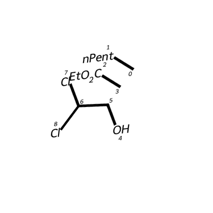 CCCCCC.CCOC(C)=O.OCC(Cl)Cl